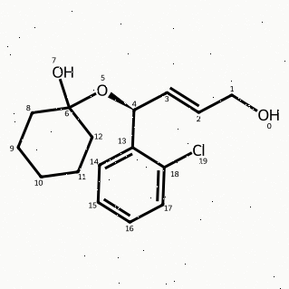 OC/C=C/[C@H](OC1(O)CCCCC1)c1ccccc1Cl